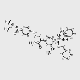 COc1cc(N(CCOc2ccc(C(=O)OC(C)C)cc2)C(C)=O)ccc1N(CCN1CCOCC1)C(=O)Nc1ccccc1C